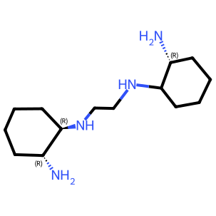 N[C@@H]1CCCCC1NCCN[C@@H]1CCCC[C@H]1N